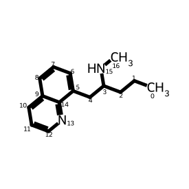 CCCC(Cc1cccc2cccnc12)NC